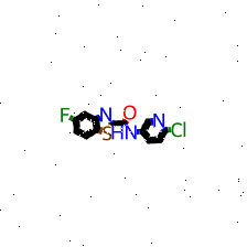 O=C(Nc1ccc(Cl)nc1)c1nc2cc(F)ccc2s1